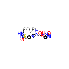 CCOC(=O)CCNC1=NC(=O)C(=Cc2ccc(N3CCC(NCC(O)COc4cccc5[nH]c(=O)[nH]c45)CC3)cc2)S1